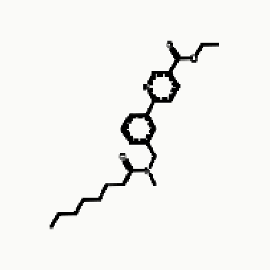 CCCCCCCC(=O)N(C)Cc1cccc(-c2ccc(C(=O)OCC)cn2)c1